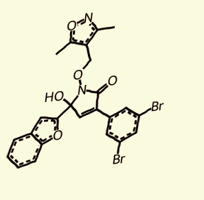 Cc1noc(C)c1CON1C(=O)C(c2cc(Br)cc(Br)c2)=CC1(O)c1cc2ccccc2o1